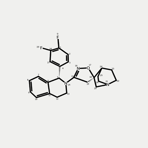 Fc1ccc([C@H]2c3ccccc3CCN2C2=NO[C@]3(C2)CN2CCC3CC2)cc1F